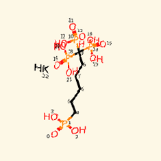 O=P(O)(O)CCCCCC(P(=O)(O)O)(P(=O)(O)O)P(=O)(O)O.[KH]